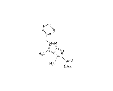 CNC(=O)c1oc2nn(Cc3ccccc3)c(C)c2c1C